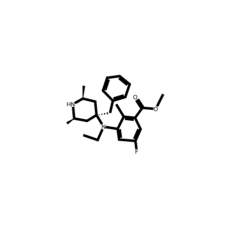 CCN(c1cc(F)cc(C(=O)OC)c1C)[C@@]1(Cc2ccccc2)C[C@@H](C)N[C@@H](C)C1